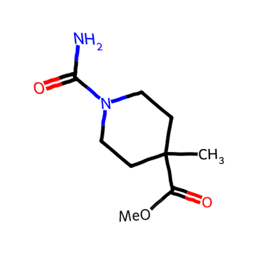 COC(=O)C1(C)CCN(C(N)=O)CC1